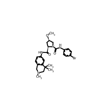 CO[C@@H]1C[C@H](C(=O)Nc2ccc3c(c2)C(C)(C)CN(C)C3)N(C(=O)Nc2ccc(Br)cc2)C1